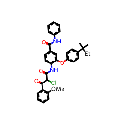 CCC(C)(C)c1ccc(Oc2cc(C(=O)Nc3ccccc3)ccc2NC(=O)C(Cl)C(=O)c2ccccc2OC)cc1